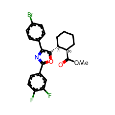 COC(=O)[C@@H]1CCCC[C@H]1c1oc(-c2ccc(F)c(F)c2)nc1-c1ccc(Br)cc1